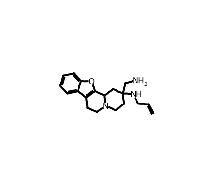 C=CCNC1(CN)CCN2CCc3c(oc4ccccc34)C2C1